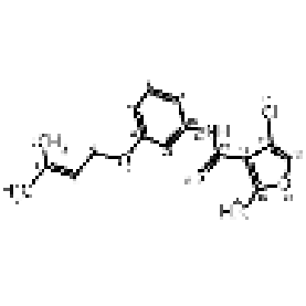 CC(C)=CCOc1cccc(NC(=S)c2c(Cl)coc2C)c1